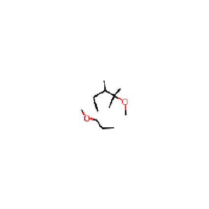 CCC(C)C(C)(C)OC.CCCOC